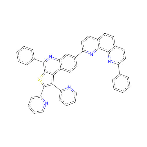 c1ccc(-c2ccc3ccc4ccc(-c5ccc6c(c5)nc(-c5ccccc5)c5sc(-c7ccccn7)c(-c7ccccn7)c56)nc4c3n2)cc1